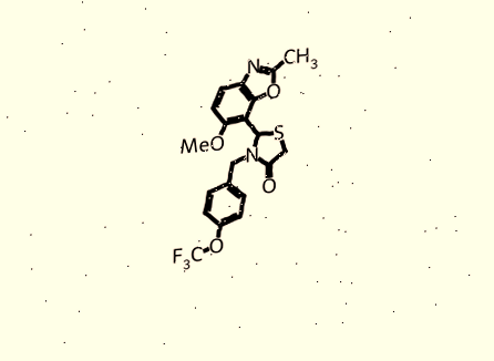 COc1ccc2nc(C)oc2c1C1SCC(=O)N1Cc1ccc(OC(F)(F)F)cc1